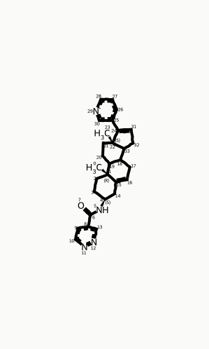 C[C@]12CC[C@H](NC(=O)c3ccnnc3)CC1=CCC1C2CC[C@]2(C)C(c3cccnc3)=CCC12